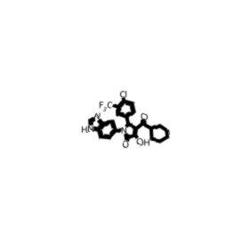 O=C(C1=C(O)C(=O)N(c2ccc3[nH]cnc3c2)C1c1ccc(Cl)c(C(F)(F)F)c1)C1CCCCC1